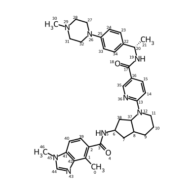 Cc1c(C(=O)NC2CC3CCCN(c4ccc(C(=O)N[C@@H](C)c5ccc(N6CCN(C)CC6)cc5)cn4)C3C2)ccc2c1ncn2C